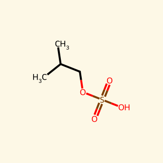 CC(C)COS(=O)(=O)O